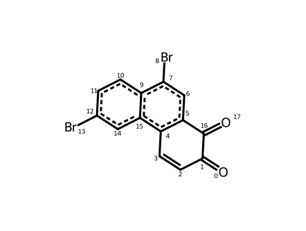 O=C1C=Cc2c(cc(Br)c3ccc(Br)cc23)C1=O